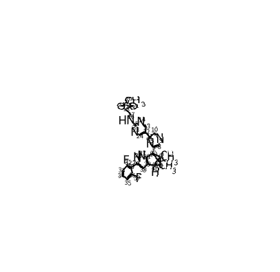 CC1(C)[C@H]2CC[C@]1(c1cncc(-c3cnc(NCCS(C)(=O)=O)nc3)n1)c1nnc(-c3c(F)cccc3F)cc12